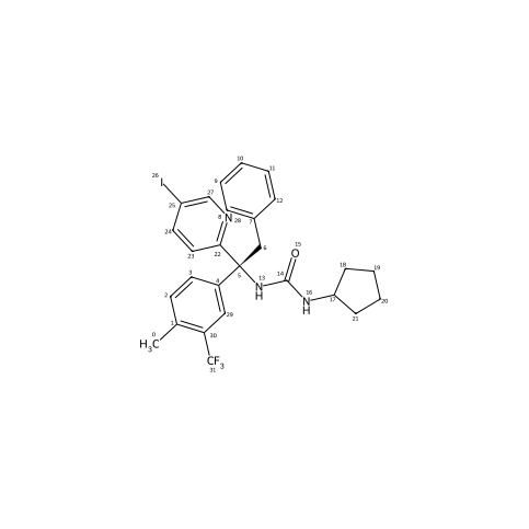 Cc1ccc([C@@](Cc2ccccc2)(NC(=O)NC2CCCC2)c2ccc(I)cn2)cc1C(F)(F)F